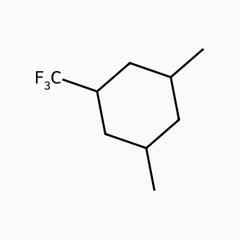 CC1CC(C)CC(C(F)(F)F)C1